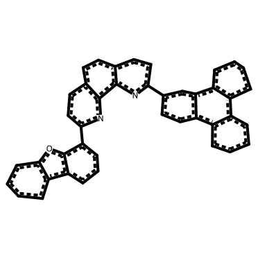 c1ccc2c(c1)oc1c(-c3ccc4ccc5ccc(-c6ccc7c8ccccc8c8ccccc8c7c6)nc5c4n3)cccc12